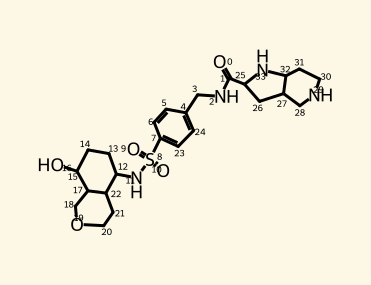 O=C(NCc1ccc(S(=O)(=O)NC2CCC(O)C3COCCC23)cc1)C1CC2CNCCC2N1